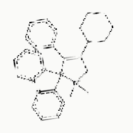 C[N+]1(C)CC(C2CCCCC2)=C(c2ccccn2)[B-]1(c1ccccn1)c1ccccn1